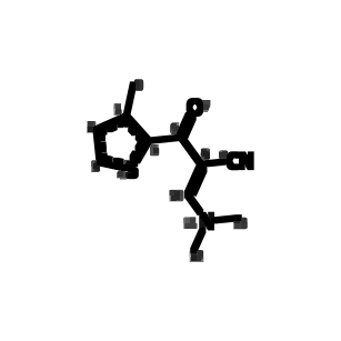 Cc1ccsc1C(=O)C(C#N)=CN(C)C